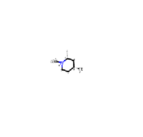 CC[C@@H]1CCN(C(C)(C)C)[C@H](C)C1